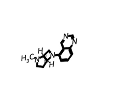 CN1CC[C@H]2[C@@H]1CN2c1cccc2ncncc12